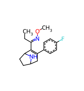 CCC(=NOC)C1=C(c2ccc(F)cc2)CC2CCC1N2